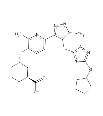 Cc1nc(-c2nnn(C)c2Cn2nnc(OC3CCCC3)n2)ccc1O[C@H]1CCC[C@H](C(=O)O)C1